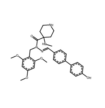 CNC1(C(=O)N(Cc2c(OC)cc(OC)cc2OC)/N=C/c2ccc(-c3ccc(O)cc3)cc2)CCNCC1